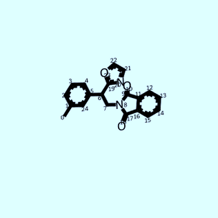 Cc1cccc(C(CN2C(=O)c3ccccc3C2=O)c2ncco2)c1